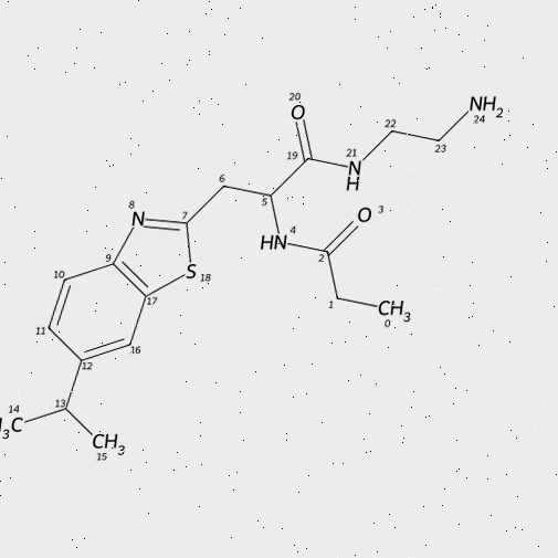 CCC(=O)NC(Cc1nc2ccc(C(C)C)cc2s1)C(=O)NCCN